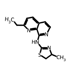 CCc1ccc2ccnc(NC3=NC(C)CS3)c2n1